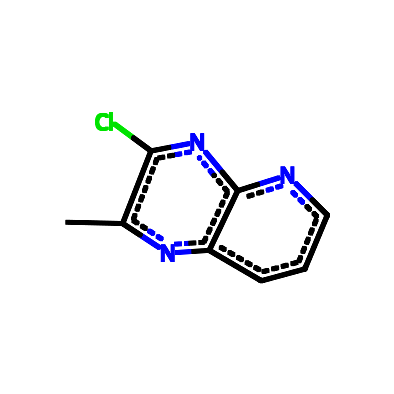 Cc1nc2cccnc2nc1Cl